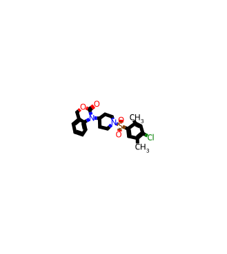 Cc1cc(S(=O)(=O)N2CCC(N3C(=O)OCc4ccccc43)CC2)c(C)cc1Cl